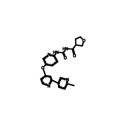 Cc1ccc(-c2cc(Oc3ccc(NC(=O)NC(=O)C4CCOC4)nc3)ccn2)cn1